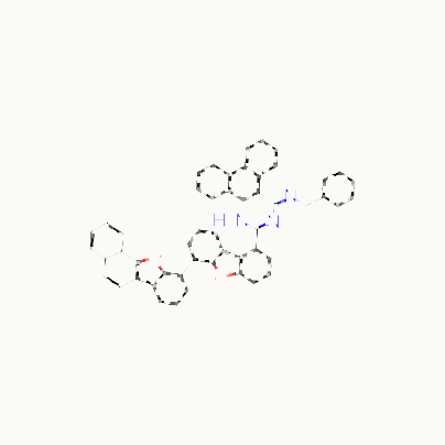 N/C(=N\C(=N/Cc1ccccc1)c1cc2ccccc2c2ccccc12)c1cccc2oc3c(-c4cccc5c6c(oc45)C4C=CC=CC4C=C6)cccc3c12